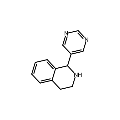 c1ccc2c(c1)CCNC2c1cncnc1